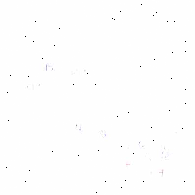 O=C1CN(C2CCN(c3ccc4c(C(=O)NCC5CCCCC5)c(Cl)ccc4n3)C2)S(O)(O)N1